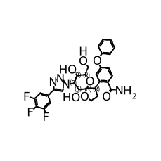 NC(=O)c1ccc(Oc2ccccc2)cc1[C@H]1CCO[C@]12O[C@H](CO)[C@H](O)[C@H](n1cc(-c3cc(F)c(F)c(F)c3)nn1)[C@H]2O